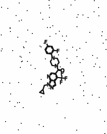 O=C(c1cnc2c(cnn2CC2CC2)c1C(F)(F)F)N1CCN(c2ccc(F)cc2F)CC1